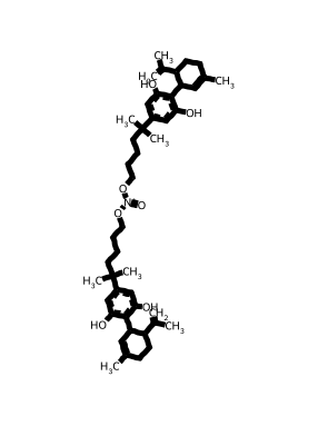 C=C(C)C1CCC(C)=CC1c1c(O)cc(C(C)(C)CCCCO[N+](=O)OCCCCC(C)(C)c2cc(O)c(C3C=C(C)CCC3C(=C)C)c(O)c2)cc1O